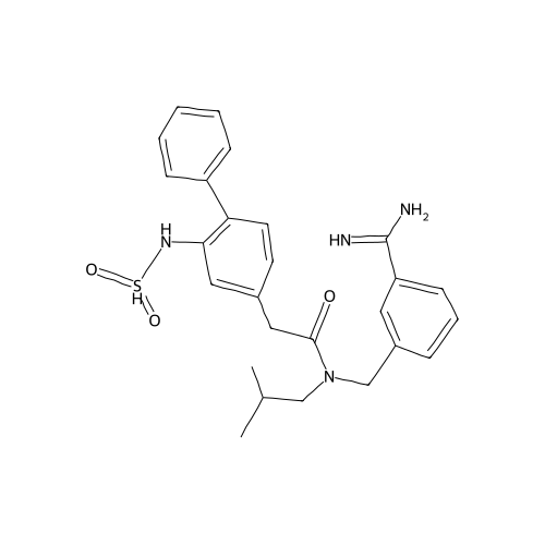 CC(C)CN(Cc1cccc(C(=N)N)c1)C(=O)Cc1ccc(-c2ccccc2)c(N[SH](=O)=O)c1